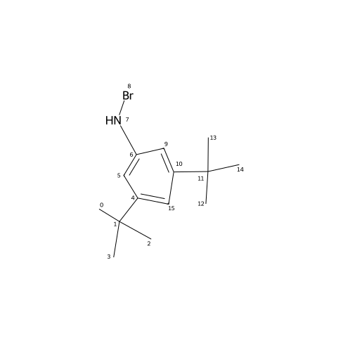 CC(C)(C)c1cc(NBr)cc(C(C)(C)C)c1